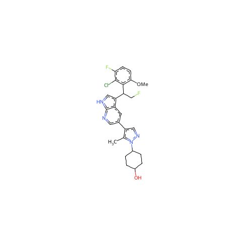 COc1ccc(F)c(Cl)c1C(CF)c1c[nH]c2ncc(-c3cnn(C4CCC(O)CC4)c3C)cc12